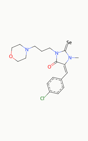 CN1C(=[Se])N(CCCN2CCOCC2)C(=O)C1=Cc1ccc(Cl)cc1